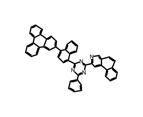 c1ccc(-c2nc(-c3cc4c(ccc5ccccc54)cn3)nc(-c3ccc(-c4ccc5c6ccccc6c6ccccc6c5c4)c4ccccc34)n2)cc1